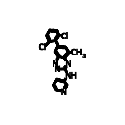 Cc1cc(-c2c(Cl)cccc2Cl)cc2nnc(Nc3cccnc3)nc12